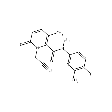 C#CCn1c(C(=O)N(C)c2ccc(F)c(C)n2)c(C)ccc1=O